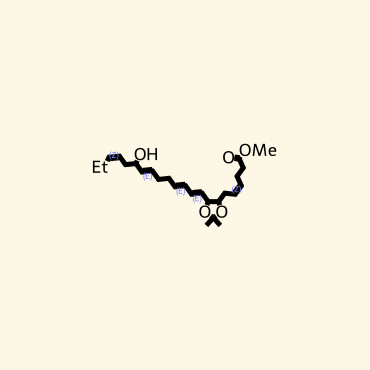 CC/C=C\CC(O)/C=C/CC/C=C/C=C/C1OC(C)(C)OC1C/C=C\CCC(=O)OC